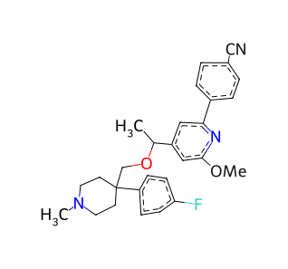 COc1cc(C(C)OCC2(c3ccc(F)cc3)CCN(C)CC2)cc(-c2ccc(C#N)cc2)n1